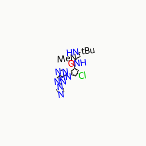 CN/C(=C\C(=N)C(C)(C)C)NC(=O)c1cc(Cl)cc(Nc2ncnc3cnc(N4CCN(C)CC4)nc23)c1